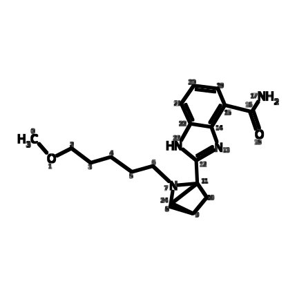 COCCCCCN1CC2CC1(c1nc3c(C(N)=O)cccc3[nH]1)C2